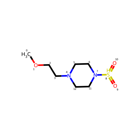 COCCN1CCN([SH](=O)=O)CC1